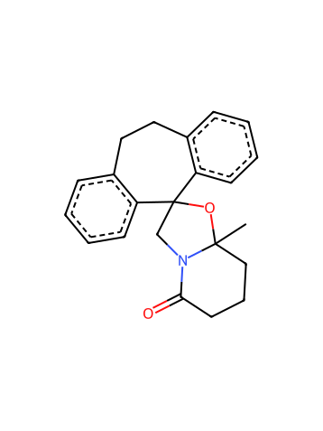 CC12CCCC(=O)N1CC1(O2)c2ccccc2CCc2ccccc21